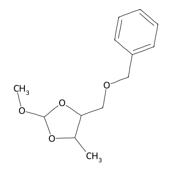 COC1OC(C)C(COCc2ccccc2)O1